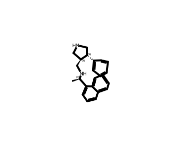 C[C@@H](NC[C@H]1CNC[C@@H]1c1ccccc1)c1cccc2ccccc12